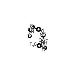 O=C(Nc1cnc(Oc2ccc(-c3cnn4ccc(N5CCCC5)nc34)cc2)nc1)Nc1cc(C(F)(F)F)ccc1-n1cccn1